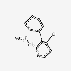 CC(=O)O.Clc1ccccc1-c1ccccc1